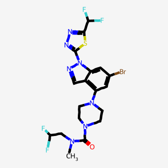 CN(CC(F)F)C(=O)N1CCN(c2cc(Br)cc3c2cnn3-c2nnc(C(F)F)s2)CC1